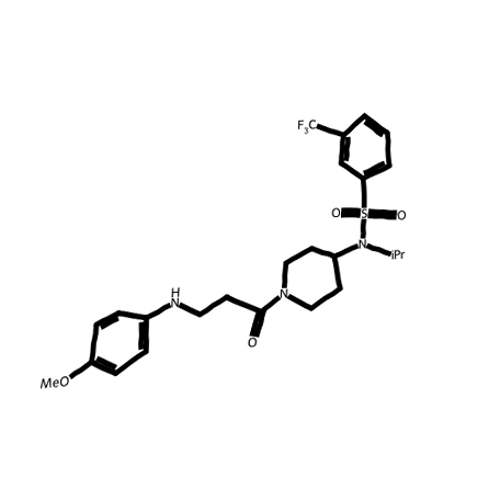 COc1ccc(NCCC(=O)N2CCC(N(C(C)C)S(=O)(=O)c3cccc(C(F)(F)F)c3)CC2)cc1